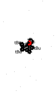 CC(C)(C)c1ccc(N2c3c4c(cc5ccccc35)-c3cc(C(C)(C)C)cc5c6cc(C(C)(C)C)ccc6n(c35)B4c3oc4cc5c(cc4c32)C(C)(C)CCC5(C)C)c(-c2ccccc2)c1